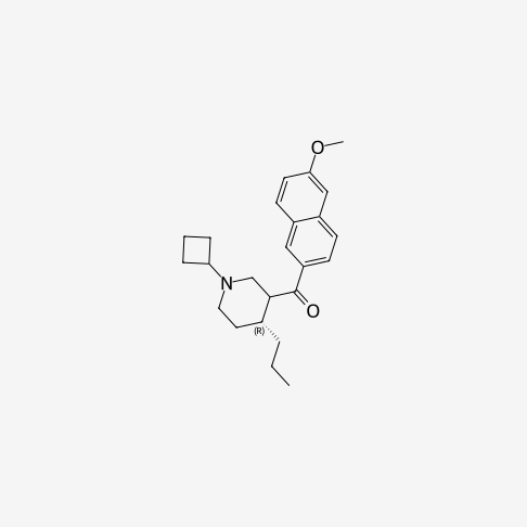 CCC[C@@H]1CCN(C2CCC2)CC1C(=O)c1ccc2cc(OC)ccc2c1